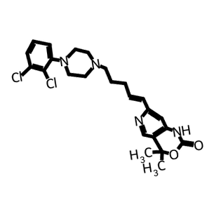 CC1(C)OC(=O)Nc2cc(/C=C/CCCN3CCN(c4cccc(Cl)c4Cl)CC3)ncc21